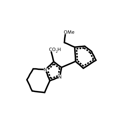 COCc1ccccc1-c1nc2n(c1C(=O)O)CCCC2